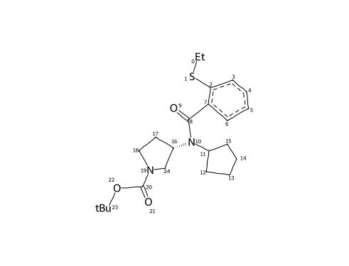 CCSc1ccccc1C(=O)N(C1CCCC1)[C@H]1CCN(C(=O)OC(C)(C)C)C1